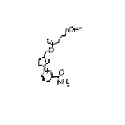 CCCCCCCCCCCCCC(=O)OC[C@@H]1CC[C@H](N2C=CCC(C(N)=O)=C2)O1